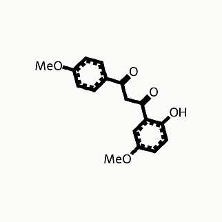 COc1ccc(C(=O)CC(=O)c2cc(OC)ccc2O)cc1